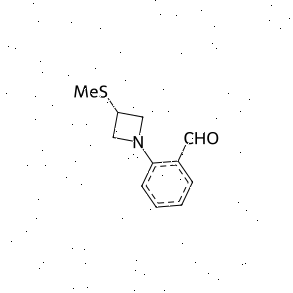 CSC1CN(c2ccccc2C=O)C1